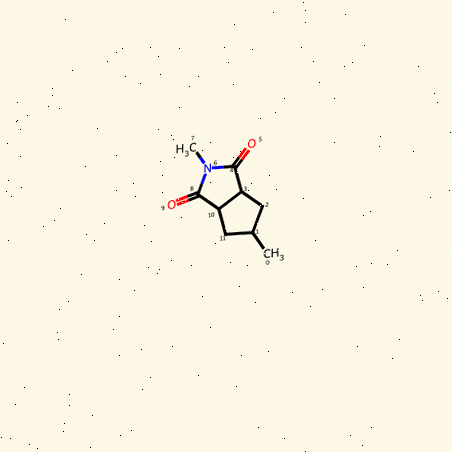 CC1CC2C(=O)N(C)C(=O)C2C1